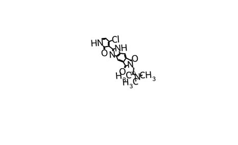 C[C@@H](CN1C(=O)c2cc3nc(-c4c(Cl)cc[nH]c4=O)[nH]c3cc2C1=O)N(C)C